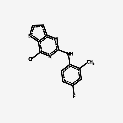 Cc1cc(F)ccc1Nc1nc(Cl)c2sccc2n1